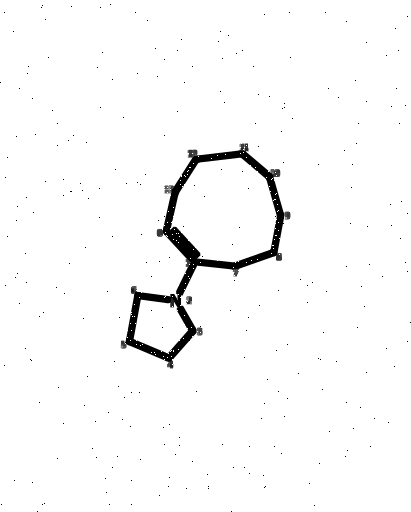 C1=C(N2CCCC2)CCCCCCC1